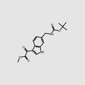 COC(=O)C(=O)c1c[nH]c2cc(CNC(=O)OC(C)(C)C)ccc12